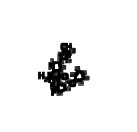 Cn1cc(-c2cnc(N)c(C(=O)N[C@H]3[C@H](COc4ccccc4)CCC3(F)F)c2)cn1